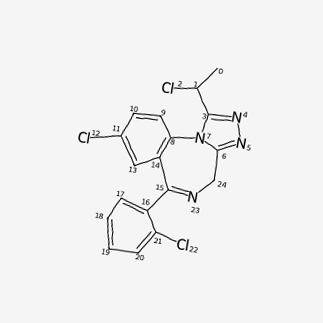 CC(Cl)c1nnc2n1-c1ccc(Cl)cc1C(c1ccccc1Cl)=NC2